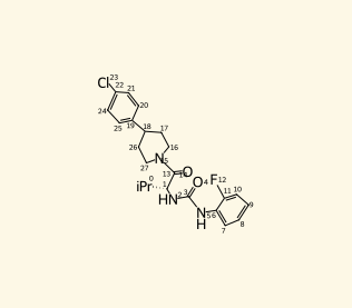 CC(C)[C@@H](NC(=O)Nc1ccccc1F)C(=O)N1CCC(c2ccc(Cl)cc2)CC1